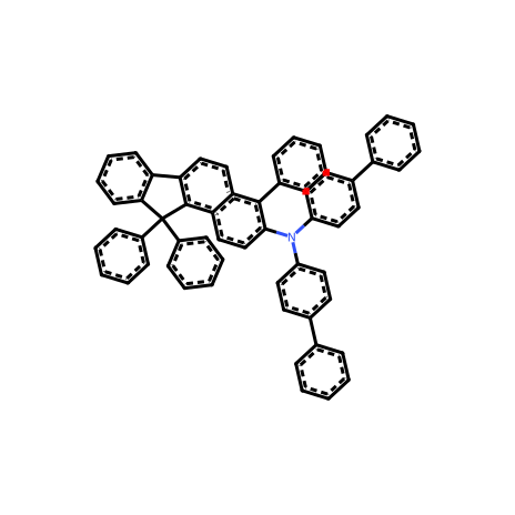 c1ccc(-c2ccc(N(c3ccc(-c4ccccc4)cc3)c3ccc4c5c(ccc4c3-c3ccccc3)-c3ccccc3C5(c3ccccc3)c3ccccc3)cc2)cc1